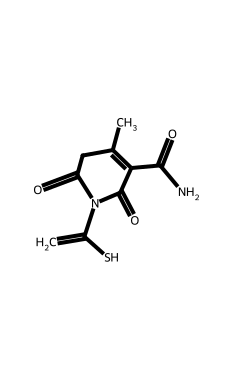 C=C(S)N1C(=O)CC(C)=C(C(N)=O)C1=O